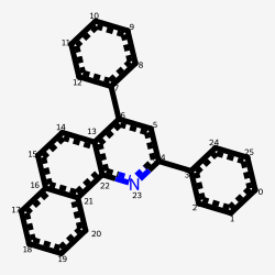 c1ccc(-c2cc(-c3ccccc3)c3ccc4ccccc4c3n2)cc1